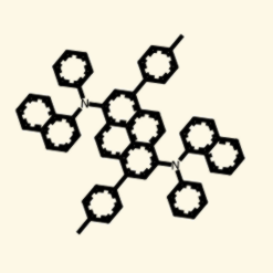 Cc1ccc(-c2cc(N(c3ccccc3)c3cccc4ccccc34)c3ccc4c(-c5ccc(C)cc5)cc(N(c5ccccc5)c5cccc6ccccc56)c5ccc2c3c45)cc1